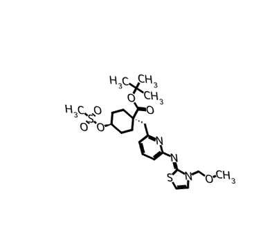 COCn1ccs/c1=N\c1cccc(C[C@]2(C(=O)OC(C)(C)C)CC[C@@H](OS(C)(=O)=O)CC2)n1